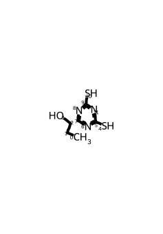 CCCO.Sc1ncnc(S)n1